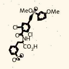 COc1cccc(P(=O)(C#Cc2cc(Cl)c(C(=O)N[C@@H](Cc3cccc(S(C)(=O)=O)c3)C(=O)O)c(Cl)c2)OC)c1